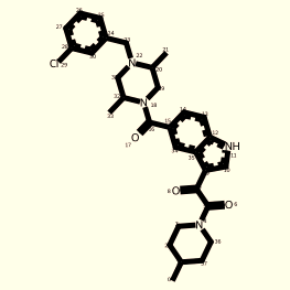 CC1CCN(C(=O)C(=O)c2c[nH]c3ccc(C(=O)N4CC(C)N(Cc5cccc(Cl)c5)CC4C)cc23)CC1